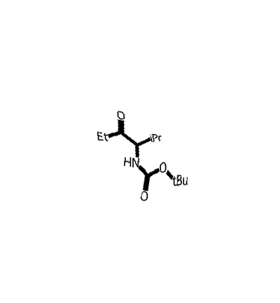 CCC(=O)C(NC(=O)OC(C)(C)C)C(C)C